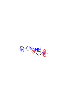 O=C(CN1CC=C(c2ccccn2)CC1)Nc1cccc([N+](=O)[O-])c1